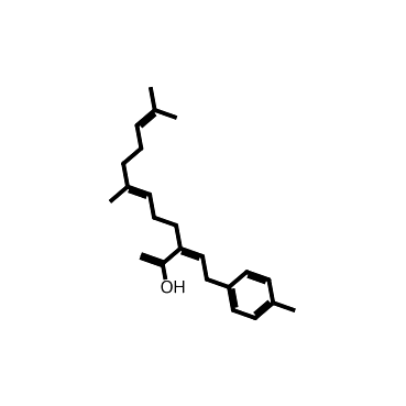 C=C(O)/C(=C\Cc1ccc(C)cc1)CC/C=C(\C)CCC=C(C)C